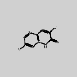 CCc1cc2ncc(Br)cc2[nH]c1=O